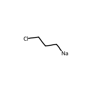 [Na][CH2]CCCl